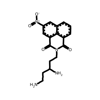 NCCC(N)CCN1C(=O)c2cccc3cc([N+](=O)[O-])cc(c23)C1=O